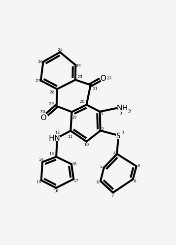 Nc1c(Sc2ccccc2)cc(Nc2ccccc2)c2c1C(=O)c1ccccc1C2=O